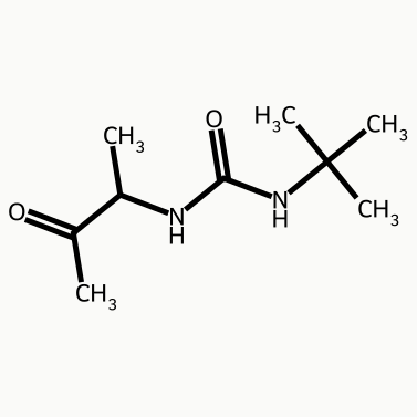 CC(=O)C(C)NC(=O)NC(C)(C)C